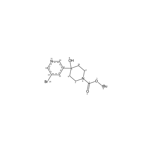 CC(C)(C)OC(=O)N1CCC(O)(c2cncc(Br)c2)CC1